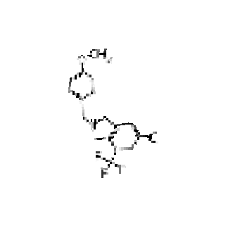 COc1ccc(CN2Cc3cc(Cl)cc(C(F)(F)F)c3C2)cc1